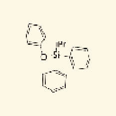 CC(C)[Si](Oc1ccccc1)(c1ccccc1)c1ccccc1